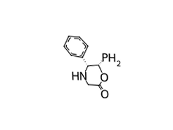 O=C1CN[C@H](c2ccccc2)[C@H](P)O1